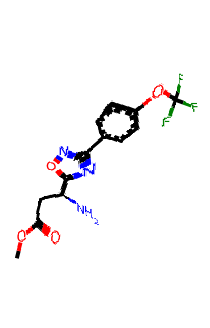 COC(=O)C[C@H](N)c1nc(-c2ccc(OC(F)(F)F)cc2)no1